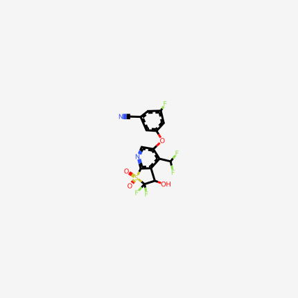 N#Cc1cc(F)cc(Oc2cnc3c(c2C(F)F)C(O)C(F)(F)S3(=O)=O)c1